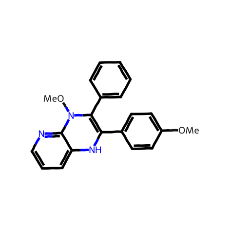 COc1ccc(C2=C(c3ccccc3)N(OC)c3ncccc3N2)cc1